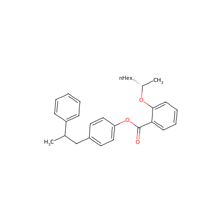 CCCCCC[C@H](C)Oc1ccccc1C(=O)Oc1ccc(CC(C)c2ccccc2)cc1